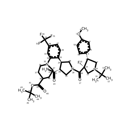 COc1ccc([C@@H]2CN(C(C)(C)C)C[C@@]2(F)C(=O)N2C[C@H](C(N)=O)[C@@H](c3ccc(C(F)(F)F)cc3N3CCC(C(=O)OC(C)(C)C)CC3)C2)cc1